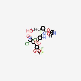 CC(C)Oc1cc(C(Cc2c(Cl)c[n+]([O-])cc2Cl)OC(=O)c2ccc(CNC(C(=O)O[C@H]3CN4CCC3CC4)c3ccccc3F)cc2)ccc1OC(F)F.O=CO